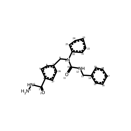 NNC(=O)c1ccc(CN(C(=O)NCc2ccccc2)c2ccccc2)cc1